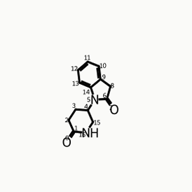 O=C1CCC(N2C(=O)Cc3ccccc32)CN1